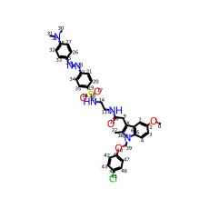 COc1ccc2c(c1)c(CC(=O)NCCNS(=O)(=O)c1ccc(/N=N/c3ccc(N(C)C)cc3)cc1)c(C)n2COc1ccc(Cl)cc1